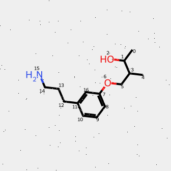 CC(O)C(C)COc1cccc(CCCN)c1